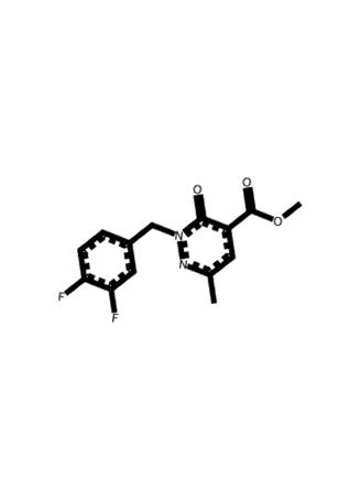 COC(=O)c1cc(C)nn(Cc2ccc(F)c(F)c2)c1=O